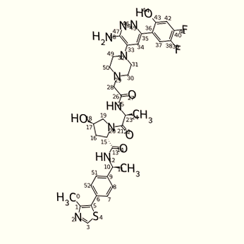 Cc1ncsc1-c1ccc([C@H](C)NC(=O)[C@@H]2C[C@@H](O)CN2C(=O)[C@H](C)NC(=O)CN2CCN(c3cc(-c4cc(F)c(F)cc4O)nnc3N)CC2)cc1